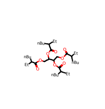 CCCCC(CC)C(=O)OCC(OC(=O)C(CC)CCCC)C(COC(=O)C(CC)CCCC)OC(=O)C(CC)CCCC